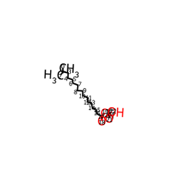 CC(C)CCCCCCCCCCCCCCC(=O)[O][Ti](=[O])[OH]